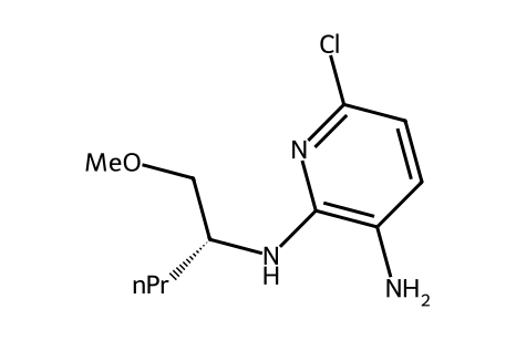 CCC[C@H](COC)Nc1nc(Cl)ccc1N